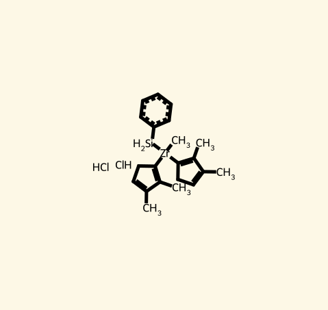 CC1=CC[C]([Zr]([CH3])([SiH2]c2ccccc2)[C]2=C(C)C(C)=CC2)=C1C.Cl.Cl